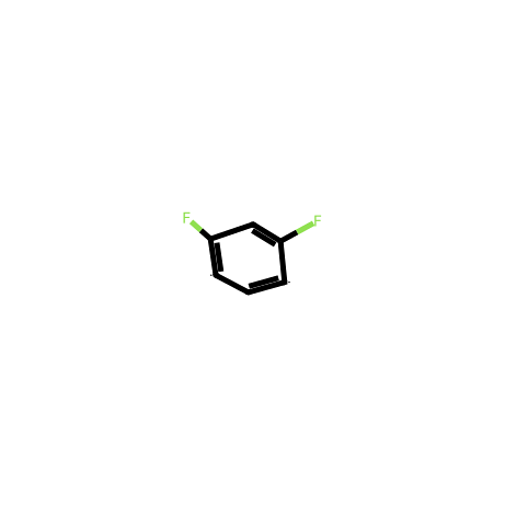 Fc1[c]c[c]c(F)c1